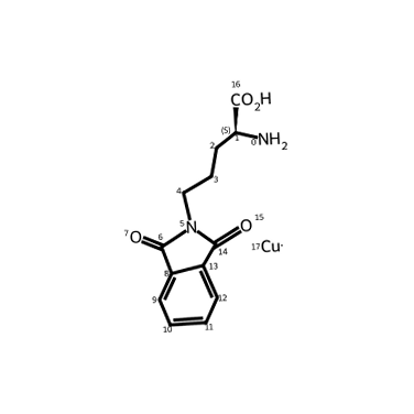 N[C@@H](CCCN1C(=O)c2ccccc2C1=O)C(=O)O.[Cu]